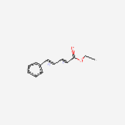 [CH2]COC(=O)/C=C/C=C/c1ccccc1